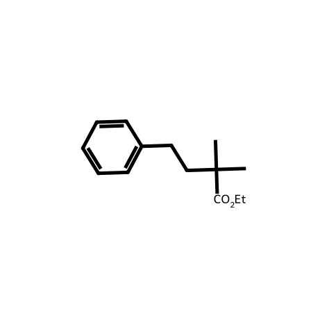 CCOC(=O)C(C)(C)CCc1ccccc1